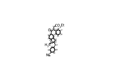 CCOC(=O)CN(C(=O)c1ccc2c(c1)nc(Cc1ccc(C#N)cc1)n2C)c1ccccc1